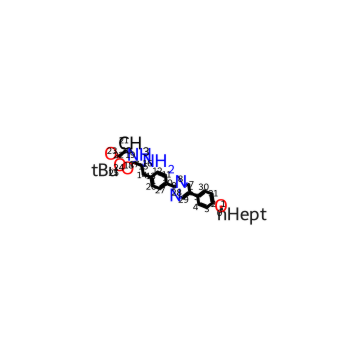 CCCCCCCOc1ccc(-c2cnc(-c3ccc(CC(N)C(=O)NC(C)C(=O)OC(C)(C)C)cc3)nc2)cc1